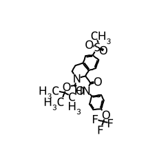 CCS(=O)(=O)c1ccc2c(c1)CCN(C(=O)OC(C)(C)C)C2C(=O)Nc1ccc(OC(F)(F)F)cc1